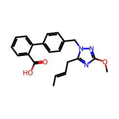 CC=CCc1nc(OC)nn1Cc1ccc(-c2ccccc2C(=O)O)cc1